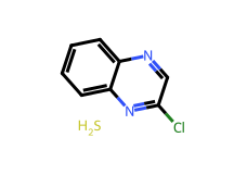 Clc1cnc2ccccc2n1.S